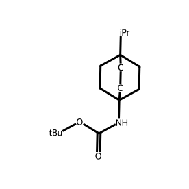 CC(C)C12CCC(NC(=O)OC(C)(C)C)(CC1)CC2